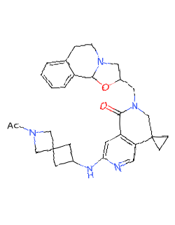 CC(=O)N1CC2(CC(Nc3cc4c(cn3)C3(CC3)CN(CC3CN5CCc6ccccc6C5O3)C4=O)C2)C1